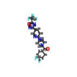 O=C(C1CCC(F)(F)CC1)N1CC2CC1CN2c1ccc(-c2noc(C(F)(F)F)n2)cn1